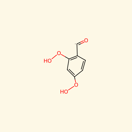 O=[C]c1ccc(OO)cc1OO